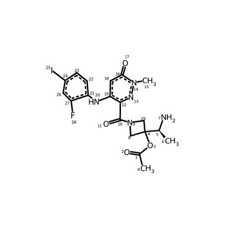 CC(=O)OC1([C@H](C)N)CN(C(=O)c2nn(C)c(=O)cc2Nc2ccc(I)cc2F)C1